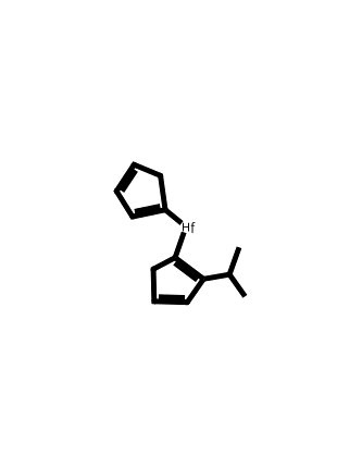 CC(C)C1=[C]([Hf][C]2=CC=CC2)CC=C1